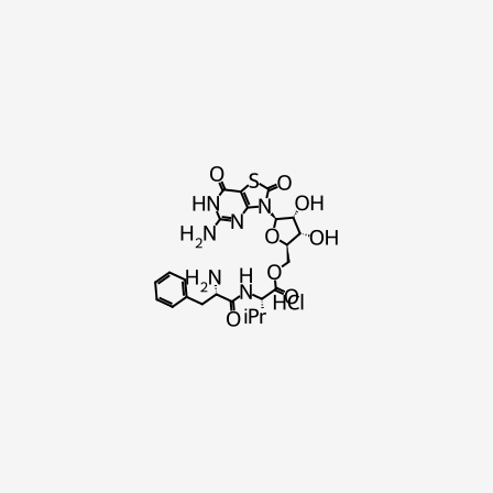 CC(C)[C@H](NC(=O)[C@@H](N)Cc1ccccc1)C(=O)OC[C@H]1O[C@@H](n2c(=O)sc3c(=O)[nH]c(N)nc32)[C@H](O)[C@@H]1O.Cl